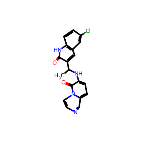 CC(Nc1ccc2cnccn2c1=O)c1cc2cc(Cl)ccc2[nH]c1=O